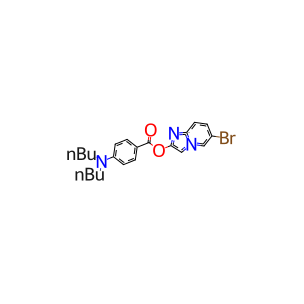 CCCCN(CCCC)c1ccc(C(=O)Oc2cn3cc(Br)ccc3n2)cc1